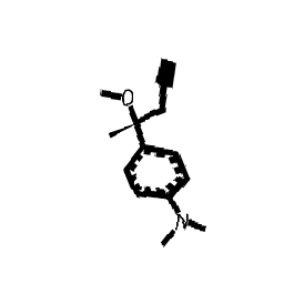 C#CC[C@@](C)(OC)c1ccc(N(C)C)cc1